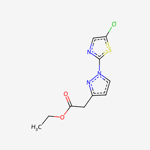 CCOC(=O)Cc1ccn(-c2ncc(Cl)s2)n1